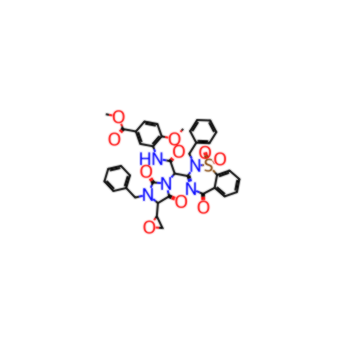 COC(=O)c1ccc(OC)c(NC(=O)C(C2=NC(=O)c3ccccc3S(=O)(=O)N2Cc2ccccc2)N2C(=O)C(C3CO3)N(Cc3ccccc3)C2=O)c1